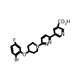 O=C(O)c1cncc(-c2ccc(N3CCC(Oc4cc(F)ccc4Br)CC3)nn2)c1